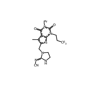 Cc1c(CN2CCN/C2=N\C#N)sc2c1c(=O)n(C(C)C)c(=O)n2CCC(F)(F)F